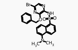 CN(C)c1cccc2c(S(=O)(=O)Nc3ncc(Br)nc3OCc3ccccc3)cccc12